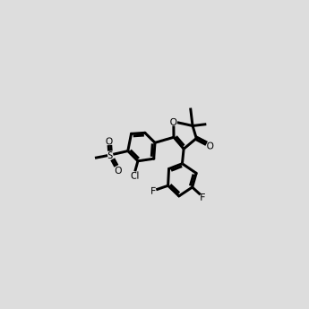 CC1(C)OC(c2ccc(S(C)(=O)=O)c(Cl)c2)=C(c2cc(F)cc(F)c2)C1=O